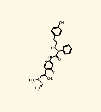 C=NN(C)/C=C(\C)c1cnc(NC(=O)[C@@H](NCCc2ccc(C#N)cc2)c2ccccc2)cc1F